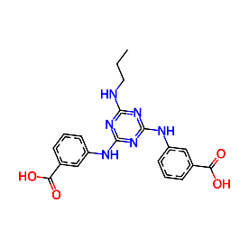 CCCNc1nc(Nc2cccc(C(=O)O)c2)nc(Nc2cccc(C(=O)O)c2)n1